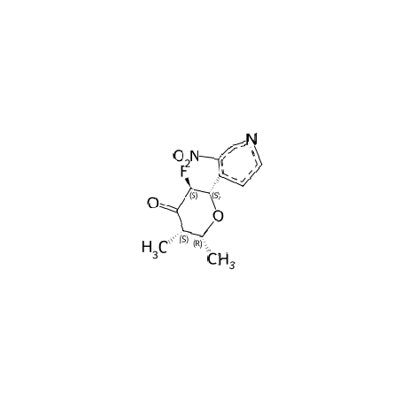 C[C@@H]1C(=O)[C@@H](F)[C@H](c2ccncc2[N+](=O)[O-])O[C@@H]1C